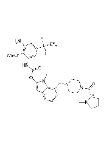 COc1c(N)cc(C(F)(F)C(F)(F)F)cc1NC(=O)Oc1cc2cccc(CN3CCN(C(=O)[C@@H]4CCCN4C)CC3)c2n1C